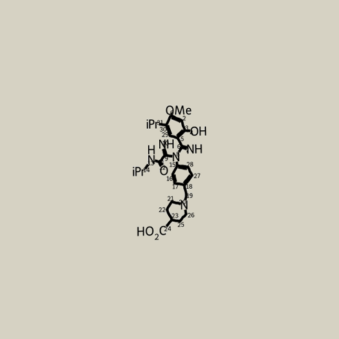 COc1cc(O)c(C(=N)N(C(=N)C(=O)NC(C)C)c2ccc(CN3CCC(C(=O)O)CC3)cc2)cc1C(C)C